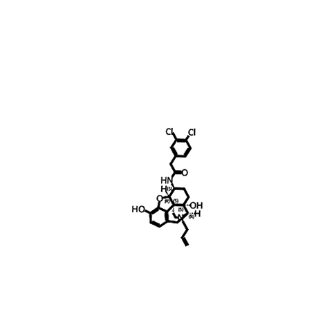 C=CCN1CC[C@]23c4c5ccc(O)c4O[C@H]2[C@@H](NC(=O)Cc2ccc(Cl)c(Cl)c2)CC[C@@]3(O)[C@H]1C5